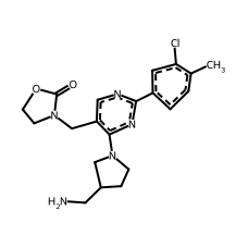 Cc1ccc(-c2ncc(CN3CCOC3=O)c(N3CCC(CN)C3)n2)cc1Cl